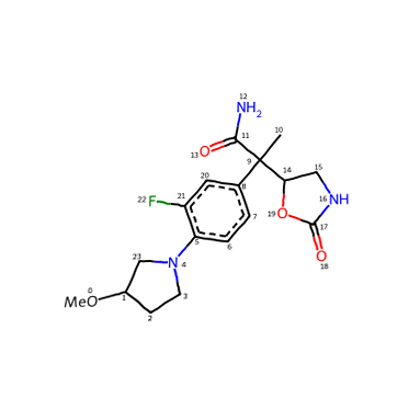 COC1CCN(c2ccc(C(C)(C(N)=O)C3CNC(=O)O3)cc2F)C1